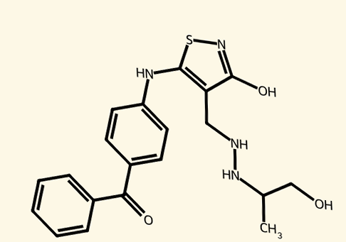 CC(CO)NNCc1c(O)nsc1Nc1ccc(C(=O)c2ccccc2)cc1